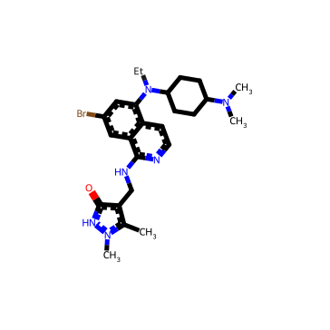 CCN(c1cc(Br)cc2c(NCc3c(C)n(C)[nH]c3=O)nccc12)C1CCC(N(C)C)CC1